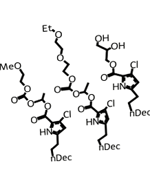 CCCCCCCCCCCCc1cc(Cl)c(C(=O)OC(C)OC(=O)OCCOC)[nH]1.CCCCCCCCCCCCc1cc(Cl)c(C(=O)OC(C)OC(=O)OCCOCCOCC)[nH]1.CCCCCCCCCCCCc1cc(Cl)c(C(=O)OCC(O)CO)[nH]1